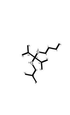 [CH2]CCCOC(OCC(C)C)(C(C)C)C(C)C